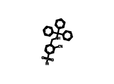 CCS(=O)(=O)c1ccc(CNC(c2ccccc2)(c2ccccc2)c2ccccc2)c(C#N)c1